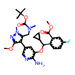 COC(=O)c1cc(F)ccc1C(Oc1cc(-c2c(OC)nn(C)c2CN(C)C(=O)OC(C)(C)C)cnc1N)C1CC1